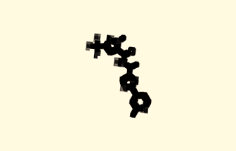 Cc1cc(-c2ncc(C(C)NC(=O)c3cc(C(F)(F)F)nn3C)s2)ccn1